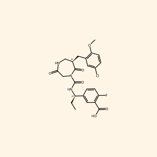 CC[C@@H](NC(=O)N1CC(=O)NC[C@@H](Cc2cc(Cl)ccc2OC)C1=O)c1ccc(F)c(C(=O)O)c1